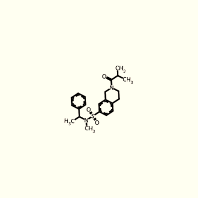 CC(C)C(=O)N1CCc2ccc(S(=O)(=O)N(C)C(C)c3ccccc3)cc2C1